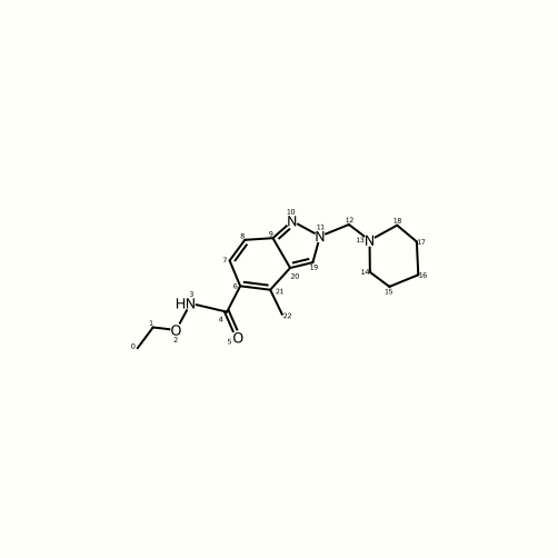 CCONC(=O)c1ccc2nn(CN3CCCCC3)cc2c1C